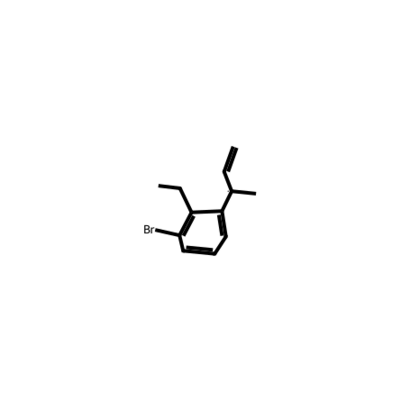 C=C[C](C)c1cccc(Br)c1CC